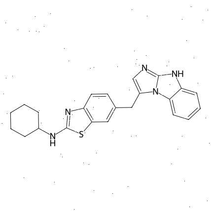 c1ccc2c(c1)[nH]c1ncc(Cc3ccc4nc(NC5CCCCC5)sc4c3)n12